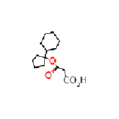 O=C(O)CC(=O)OC1(C2CCCCC2)CCCC1